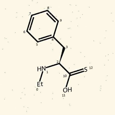 CCN[C@@H](Cc1ccccc1)C(O)=S